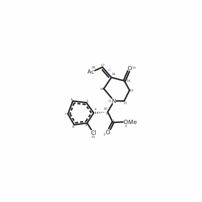 COC(=O)[C@H](c1ccccc1Cl)N1CCC(=O)/C(=C/C(C)=O)C1